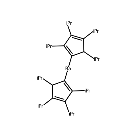 CC(C)C1=[C]([Ba][C]2=C(C(C)C)C(C(C)C)=C(C(C)C)C2C(C)C)C(C(C)C)C(C(C)C)=C1C(C)C